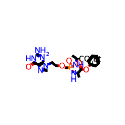 CCOC(=O)[C@H](C)NP(=O)(COCCn1cnc2c(=O)[nH]c(N)nc21)NC(C)C(=O)Oc1ccccc1